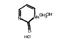 Cl.Cl.O.O=c1nccc[nH]1